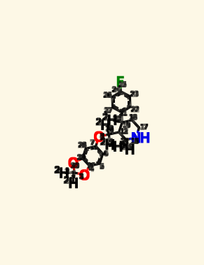 [2H]C1([2H])Oc2ccc(OC([2H])([2H])C3C([2H])([2H])NCC[C@@]3([2H])c3ccc(F)cc3)cc2O1